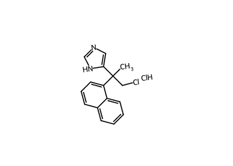 CC(CCl)(c1cnc[nH]1)c1cccc2ccccc12.Cl